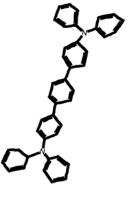 C1=CCC(N(c2ccccc2)c2ccc(-c3ccc(-c4ccc(N(c5ccccc5)c5ccccc5)cc4)cc3)cc2)C=C1